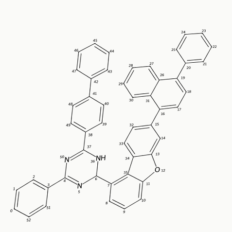 c1ccc(C2=NC(c3cccc4oc5cc(-c6ccc(-c7ccccc7)c7ccccc67)ccc5c34)NC(c3ccc(-c4ccccc4)cc3)=N2)cc1